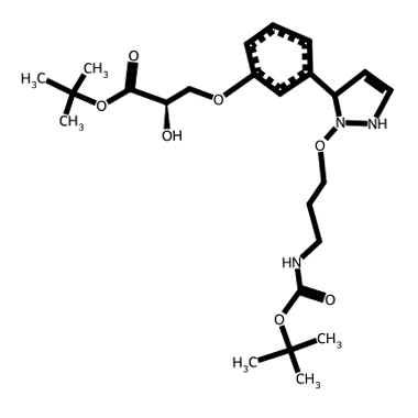 CC(C)(C)OC(=O)NCCCON1NC=CC1c1cccc(OC[C@@H](O)C(=O)OC(C)(C)C)c1